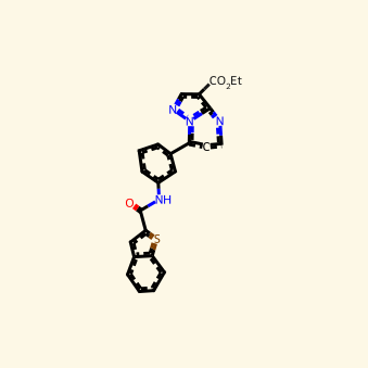 CCOC(=O)c1cnn2c(-c3cccc(NC(=O)c4cc5ccccc5s4)c3)ccnc12